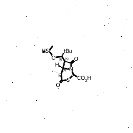 C[C@H]1C(=O)SC(C(=O)O)N2C(=O)[C@H]([C@@H](O[SiH](C)C)C(C)(C)C)[C@@H]12